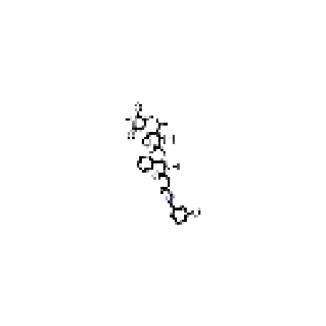 COc1cccc(/C=C/C(=O)CC(=O)N[C@@H](CC(=O)N[C@H](C(=O)[C@@H]2C(=O)N(C)C(=O)[C@H]2C)C(C)C)c2ccccc2)c1